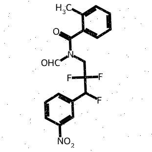 Cc1ccccc1C(=O)N(C=O)CC(F)(F)C(F)c1cccc([N+](=O)[O-])c1